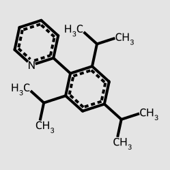 CC(C)c1cc(C(C)C)c(-c2ccccn2)c(C(C)C)c1